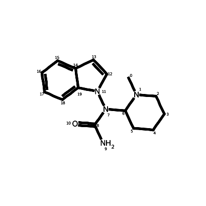 CN1CCCCC1N(C(N)=O)n1ccc2ccccc21